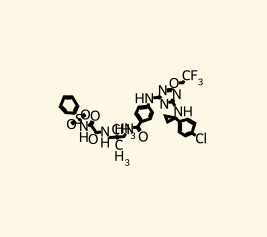 CC(C)(CNC(=O)C(=O)NS(=O)(=O)c1ccccc1)CNC(=O)c1ccc(Nc2nc(NC3(c4ccc(Cl)cc4)CC3)nc(OCC(F)(F)F)n2)cc1